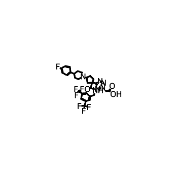 O=C(O)Cn1nnc(C2(C(=O)NCc3cc(C(F)(F)F)cc(C(F)(F)F)c3)CCC(N3CCC(c4ccc(F)cc4)CC3)C2)n1